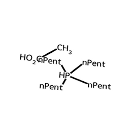 CC(=O)O.CCCCC[PH](CCCCC)(CCCCC)CCCCC